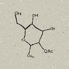 CC(=O)OC1OC(CO)C(O)C(O)C1OC(C)=O